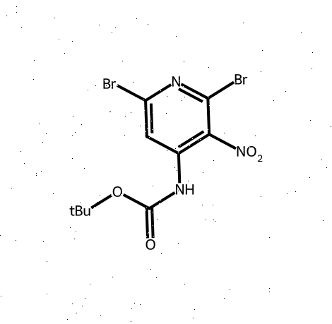 CC(C)(C)OC(=O)Nc1cc(Br)nc(Br)c1[N+](=O)[O-]